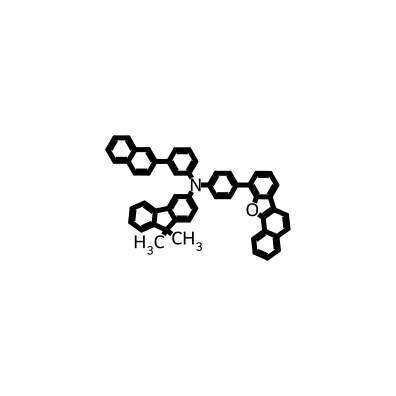 CC1(C)c2ccccc2-c2cc(N(c3ccc(-c4cccc5c4oc4c6ccccc6ccc54)cc3)c3cccc(-c4ccc5ccccc5c4)c3)ccc21